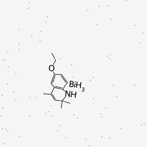 CCOc1ccc2c(c1)C(C)=CC(C)(C)N2.[BiH3]